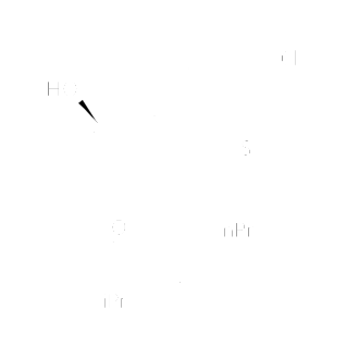 CCC[C@]1(CC(C)C)OC[C@@H](O)c2cc(Cl)sc21